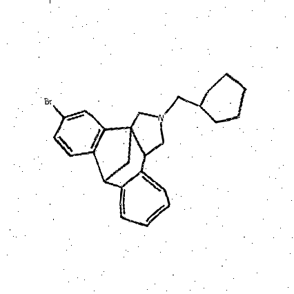 Brc1ccc2c(c1)C13CC2c2ccccc2C1CN(CC1CCCC1)C3